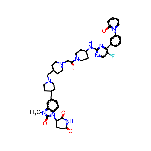 Cn1c(=O)n(C2CCC(=O)NC2=O)c2ccc(C3CCN(CC4CCN(CC(=O)N5CCC(Nc6ncc(F)c(-c7cccc(-n8ccccc8=O)c7)n6)CC5)CC4)CC3)cc21